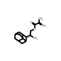 C=C(C)C(=O)OCC(C)C1C2CC3CC(C2)CC1C3